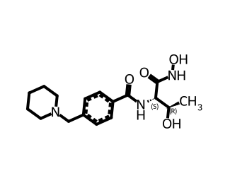 C[C@@H](O)[C@H](NC(=O)c1ccc(CN2CCCCC2)cc1)C(=O)NO